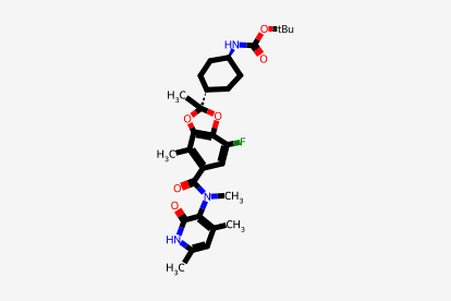 Cc1cc(C)c(N(C)C(=O)c2cc(F)c3c(c2C)OC(C)([C@H]2CC[C@H](NC(=O)OC(C)(C)C)CC2)O3)c(=O)[nH]1